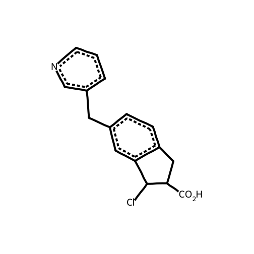 O=C(O)C1Cc2ccc(Cc3cccnc3)cc2C1Cl